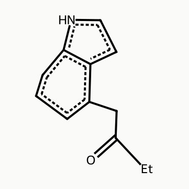 CCC(=O)Cc1cccc2[nH]ccc12